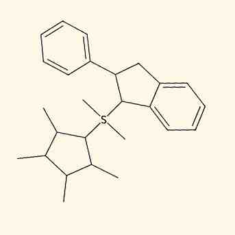 CC1C(C)C(C)C(S(C)(C)C2c3ccccc3CC2c2ccccc2)C1C